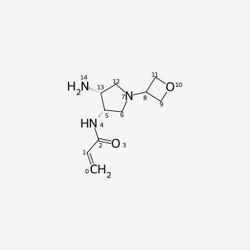 C=CC(=O)N[C@H]1CN(C2COC2)C[C@H]1N